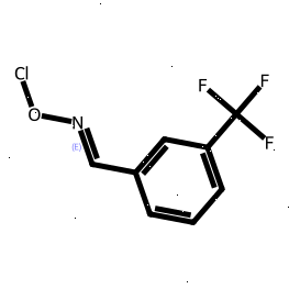 FC(F)(F)c1cccc(/C=N/OCl)c1